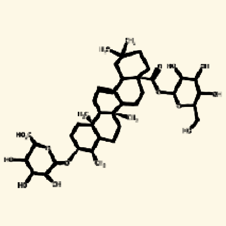 C[C@@H]1C2CC[C@@]3(C)C4CC[C@@]5(C(=O)OC6OC(CO)C(O)C(O)C6O)CCC(C)(C)CC5C4=CCC3[C@@]2(C)CC[C@@H]1OC1OC(C(=O)O)C(O)C(O)C1O